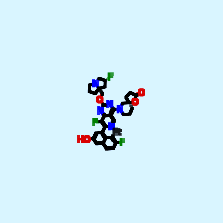 CCc1c(F)ccc2cc(O)cc(-c3ncc4c(N5CCC[C@@]6(CCC(=O)O6)C5)nc(OC[C@@]56CCCN5C[C@H](F)C6)nc4c3F)c12